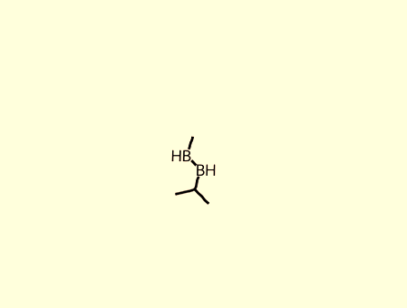 CBBC(C)C